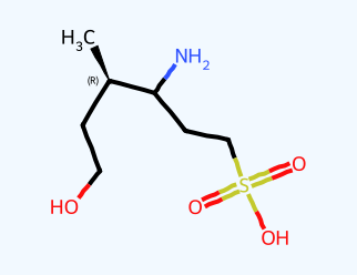 C[C@H](CCO)C(N)CCS(=O)(=O)O